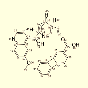 C=C[C@H]1C[N@]2CC[C@H]1C[C@@H]2[C@@H](O)c1ccnc2ccc(OC)cc12.O=C(O)c1ccc2c(c1)-c1ccccc1-2